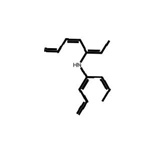 C=C/C=C\C(=C/C)NC(/C=C\C)=C/C=C